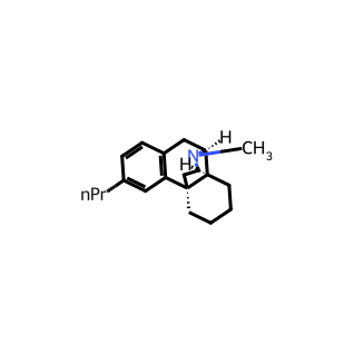 CCCc1ccc2c(c1)[C@]13CCCC[C@@H]1[C@H](C2)N(C)CC3